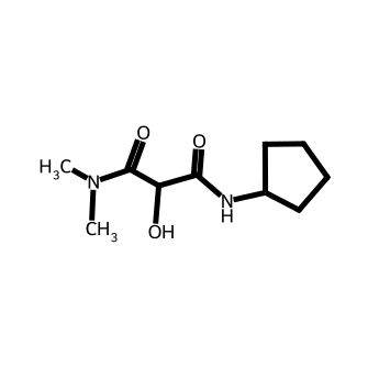 CN(C)C(=O)C(O)C(=O)NC1CCCC1